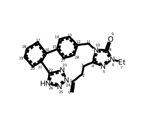 C=CCCc1nn(CC)c(=O)n1Cc1ccc(-c2ccccc2-c2nnn[nH]2)cc1